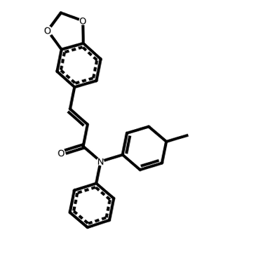 CC1C=CC(N(C(=O)/C=C/c2ccc3c(c2)OCO3)c2ccccc2)=CC1